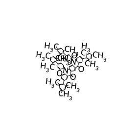 Cc1cc(C)c(-c2ccc3c(c2)oc2cc(-c4c(C)cc(C)cc4C)cc4c(=O)c5cc6c(=O)c7cc(-c8c(C)cc(C)cc8C)cc8oc9cc(-c%10c(C)cc(C)cc%10C)ccc9n(c6cc5n3c24)c87)c(C)c1